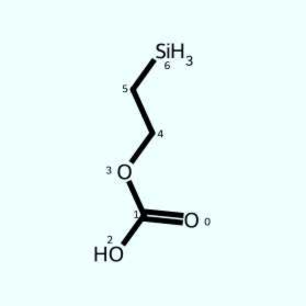 O=C(O)OCC[SiH3]